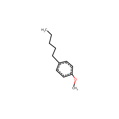 [CH2]CCCCc1ccc(OC)cc1